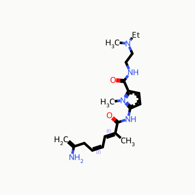 C=C(N)C/C=C\C=C(/C)C(=O)Nc1ccc(C(=O)NCCN(C)CC)n1C